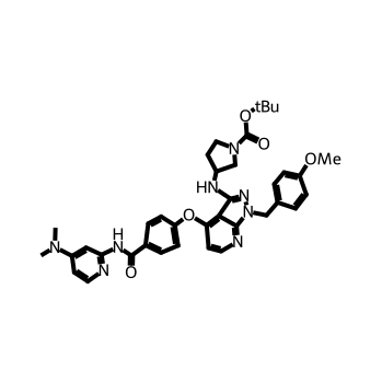 COc1ccc(Cn2nc(NC3CCN(C(=O)OC(C)(C)C)C3)c3c(Oc4ccc(C(=O)Nc5cc(N(C)C)ccn5)cc4)ccnc32)cc1